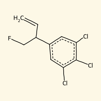 C=CC(CF)c1cc(Cl)c(Cl)c(Cl)c1